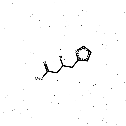 COC(=O)CC(N)Cc1cccs1